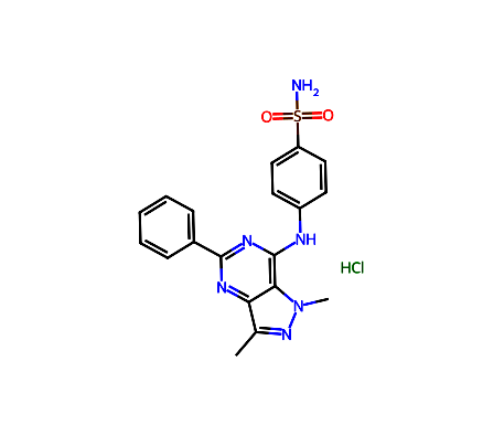 Cc1nn(C)c2c(Nc3ccc(S(N)(=O)=O)cc3)nc(-c3ccccc3)nc12.Cl